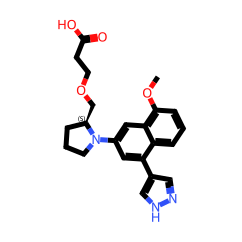 COc1cccc2c(-c3cn[nH]c3)cc(N3CCC[C@H]3COCCC(=O)O)cc12